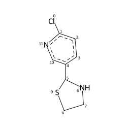 Clc1ccc(C2NCCS2)cn1